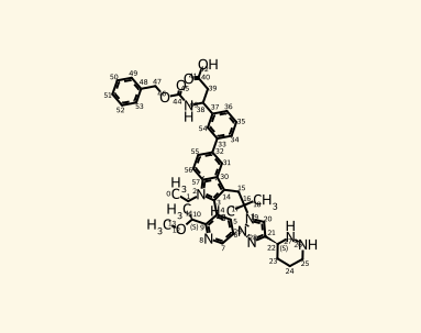 CCn1c(-c2cccnc2[C@H](C)OC)c(CC(C)(C)n2cc([C@@H]3CCCNN3)nn2)c2cc(-c3cccc(C(CC(=O)O)NC(=O)OCc4ccccc4)c3)ccc21